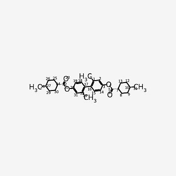 Cc1cc(OC(=O)[C@H]2CC[C@H](C)CC2)ccc1-c1ccc(OC(=O)[C@H]2CC[C@H](C)CC2)cc1C